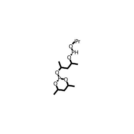 CC(C)OPOC(C)CC(C)OP1OC(C)CC(C)O1